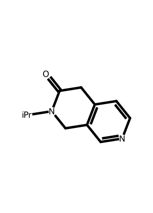 CC(C)N1Cc2cnccc2CC1=O